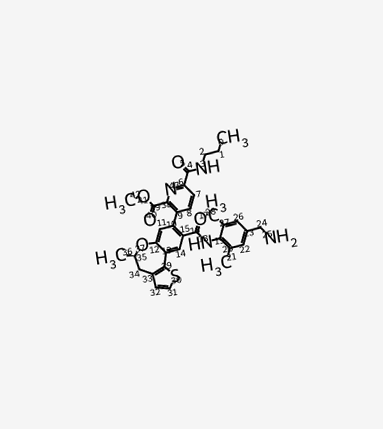 CCCNC(=O)c1ccc(-c2cc3c(cc2C(=O)Nc2c(C)cc(CN)cc2C)-c2sccc2C[C@@H](C)O3)c(C(=O)OC)n1